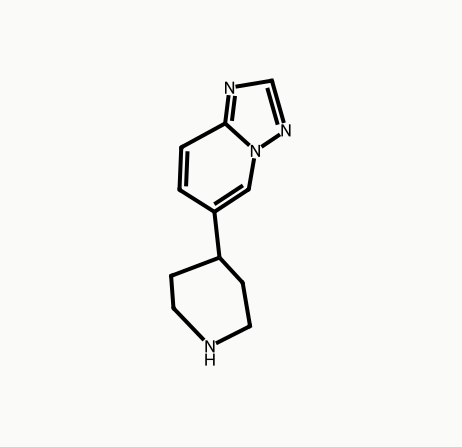 c1nc2ccc(C3CCNCC3)cn2n1